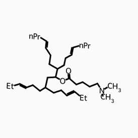 CCC=CCCC(CCC=CCC)CC(OC(=O)CCCCN(C)C)C(CCC=CCCC)CCC=CCCC